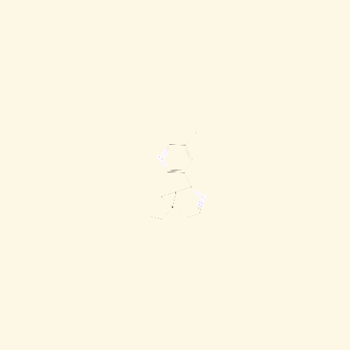 C[C@]1(c2cc(Br)cnc2F)N=[C]SC2(CF)CC21